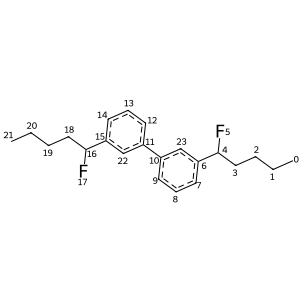 CCCCC(F)c1cccc(-c2cccc(C(F)CCCC)c2)c1